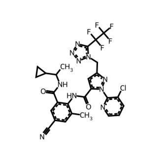 Cc1cc(C#N)cc(C(=O)NC(C)C2CC2)c1NC(=O)c1cc(Cn2nnnc2C(F)(F)C(F)(F)F)nn1-c1ncccc1Cl